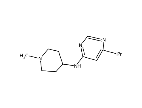 CC(C)c1cc(NC2CCN(C)CC2)ncn1